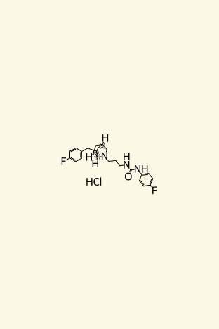 Cl.O=C(NCCCN1C[C@H]2CC[C@@H]1[C@@H](Cc1ccc(F)cc1)C2)Nc1ccc(F)cc1